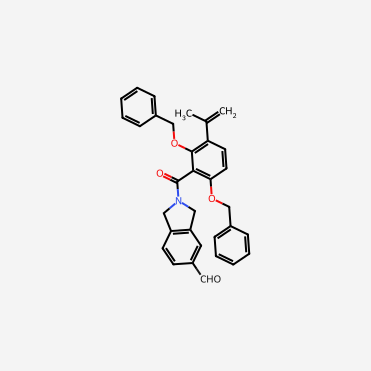 C=C(C)c1ccc(OCc2ccccc2)c(C(=O)N2Cc3ccc(C=O)cc3C2)c1OCc1ccccc1